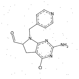 Nc1nc(Cl)c2c(n1)N(Cc1ccncc1)C(C=O)C2